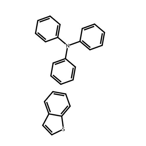 c1ccc(N(c2ccccc2)c2ccccc2)cc1.c1ccc2sccc2c1